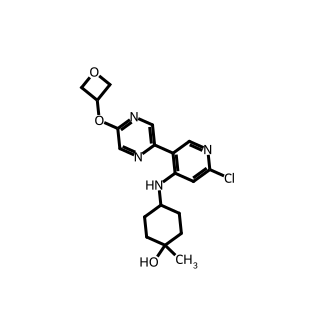 CC1(O)CCC(Nc2cc(Cl)ncc2-c2cnc(OC3COC3)cn2)CC1